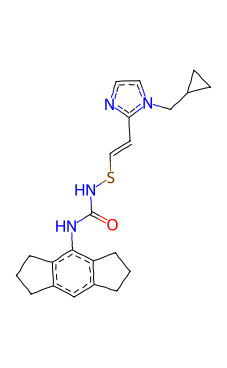 O=C(NS/C=C/c1nccn1CC1CC1)Nc1c2c(cc3c1CCC3)CCC2